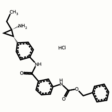 CC[C@]1(N)C[C@H]1c1ccc(NC(=O)c2cccc(NC(=O)OCc3ccccc3)c2)cc1.Cl